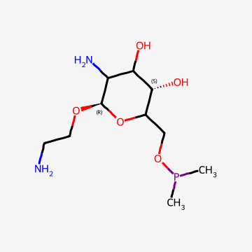 CP(C)OCC1O[C@@H](OCCN)C(N)C(O)[C@@H]1O